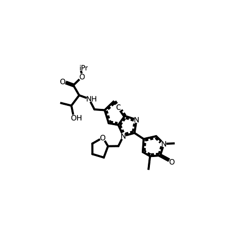 Cc1cc(-c2nc3ccc(CNC(C(=O)OC(C)C)C(C)O)cc3n2CC2CCCO2)cn(C)c1=O